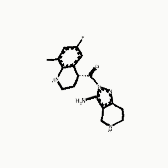 Cc1cc(F)cc2c1NCC[C@H]2C(=O)n1nc2c(c1N)CNCC2